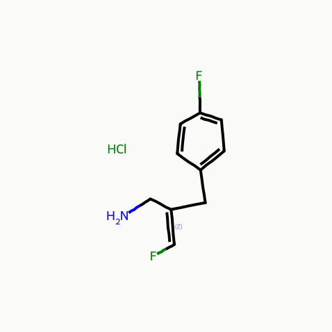 Cl.NC/C(=C\F)Cc1ccc(F)cc1